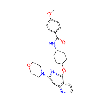 COc1ccc(C(=O)NC2CCC(Oc3nc(N4CCOCC4)cc4ncccc34)CC2)cc1